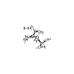 OB(O)O.OB(O)O.[KH].[NaH]